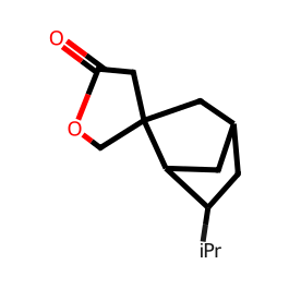 CC(C)C1CC2CC1C1(COC(=O)C1)C2